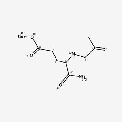 C=C(C)CNC(CCC(=O)OC(C)(C)C)C(N)=O